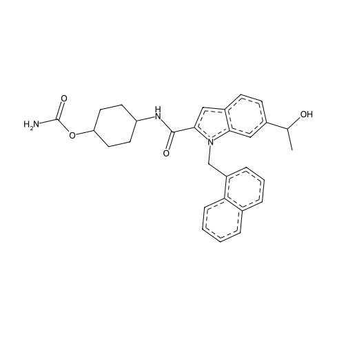 CC(O)c1ccc2cc(C(=O)NC3CCC(OC(N)=O)CC3)n(Cc3cccc4ccccc34)c2c1